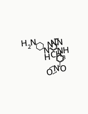 Cc1c(N[C@H]2CC[C@H](N)CC2)nn2ccnc2c1Nc1ccc(C(=O)N2CCOCC2)cc1